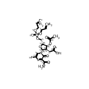 C=CCOP(=O)(OCC=C)OC[C@H]1O[C@@H](n2cc(F)nc(C(N)=O)c2=O)[C@H](CC(=O)O)[C@H]1OC(C)=O